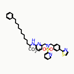 O=C(O)C(CCCCCCCCCCc1ccccc1)Nc1cccc(CN(Cc2ccc(-c3nccs3)cc2)S(=O)(=O)c2ccccn2)n1